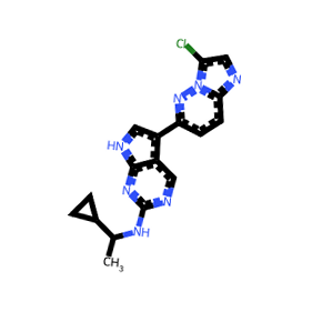 CC(Nc1ncc2c(-c3ccc4ncc(Cl)n4n3)c[nH]c2n1)C1CC1